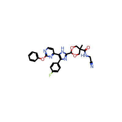 CC1(C(=O)NCC#N)COC(c2nc(-c3ccc(F)cc3)c(-c3ccnc(Oc4ccccc4)n3)[nH]2)OC1